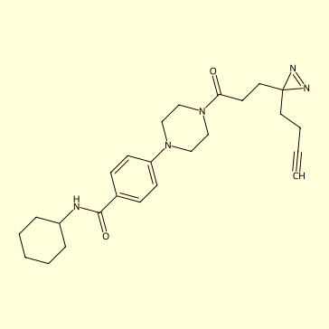 C#CCCC1(CCC(=O)N2CCN(c3ccc(C(=O)NC4CCCCC4)cc3)CC2)N=N1